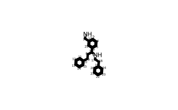 NCc1cccc(C(CCc2ccccc2)NCCc2ccccc2)c1